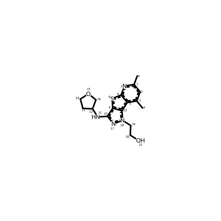 Cc1cc(C)c2c(n1)sc1c(NC3CCOC3)nn(CCO)c12